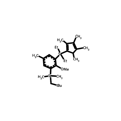 CC[Si](CC)(C1=C(C)C(C)=C(C)C1C)c1cc(C)cc([Si](C)(C)CC(C)(C)C)c1OC